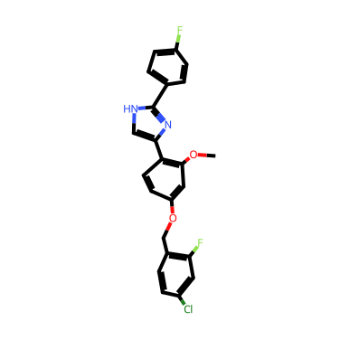 COc1cc(OCc2ccc(Cl)cc2F)ccc1-c1c[nH]c(-c2ccc(F)cc2)n1